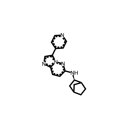 c1cc(-c2cnc3ccc(N[C@@H]4CC5CCC4C5)nn23)ccn1